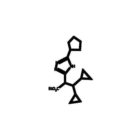 CCOC(=O)C(c1nnc(C2CCCC2)[nH]1)C(C1CC1)C1CC1